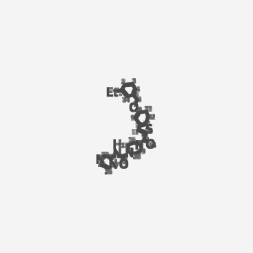 CCc1cccc(COC2=Cc3cc(C(=O)N4CCN(C(=O)Nc5cnccn5)CC4)sc3CC2)c1